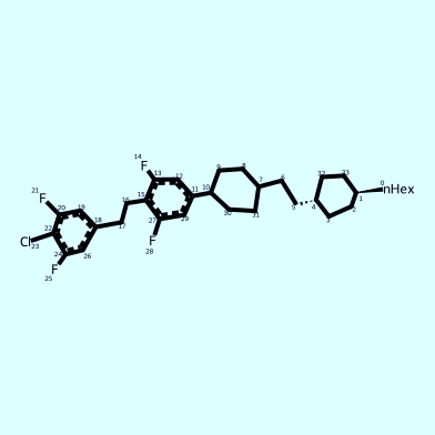 CCCCCC[C@H]1CC[C@H](CCC2CCC(c3cc(F)c(CCc4cc(F)c(Cl)c(F)c4)c(F)c3)CC2)CC1